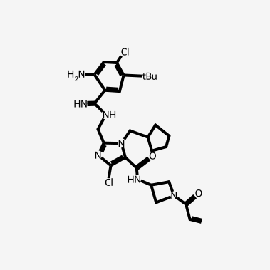 C=CC(=O)N1CC(NC(=O)c2c(Cl)nc(CNC(=N)c3cc(C(C)(C)C)c(Cl)cc3N)n2CC2CCCC2)C1